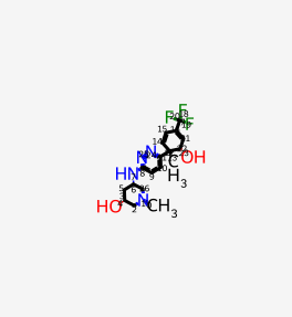 CN1C[C@H](O)C[C@H](Nc2ccc(C3(C)C=CC(C(F)(F)F)=CC3O)nn2)C1